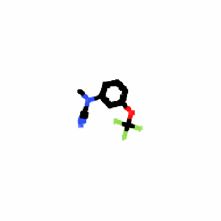 CN(C#N)c1cccc(OC(F)(F)F)c1